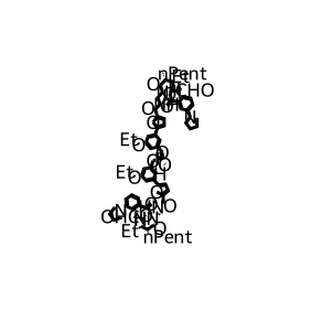 CCCCC[C@@H](C(=O)NCNC(=O)c1ccc(-c2cc(OCC)cc(O[PH](=O)Oc3cc(OCC)cc(-c4ccc(C(=O)NCNC(=O)[C@H](CCCCC)[C@@H](CC)N(C=O)OC(=O)c5cccc(N6CCCC6)c5)o4)c3)c2)o1)[C@@H](CC)N(C=O)OC(=O)c1cccc(N2CCCC2)c1